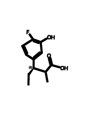 CC[C@@H](c1ccc(F)c(O)c1)C(C)C(=O)O